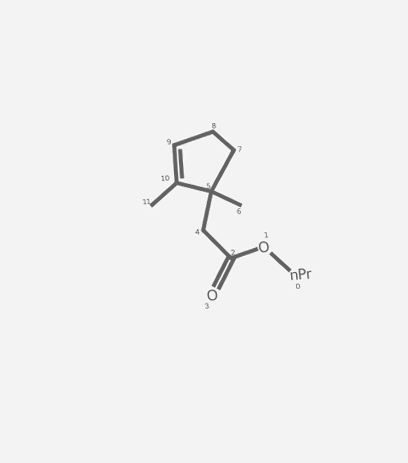 CCCOC(=O)CC1(C)CCC=C1C